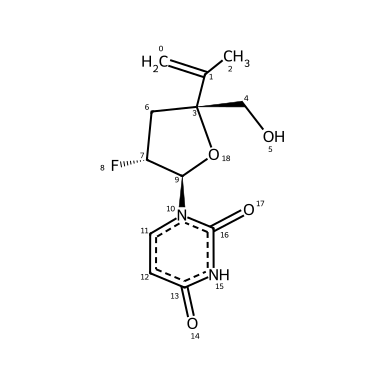 C=C(C)[C@@]1(CO)C[C@@H](F)[C@H](n2ccc(=O)[nH]c2=O)O1